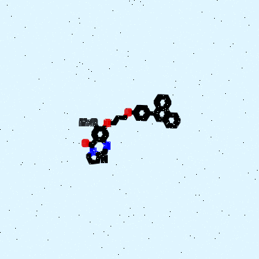 COc1cc2c(cc1OCCCOc1ccc(-c3cc4ccccc4c4ccccc34)cc1)N=C[C@@H]1CCCN1C2=O